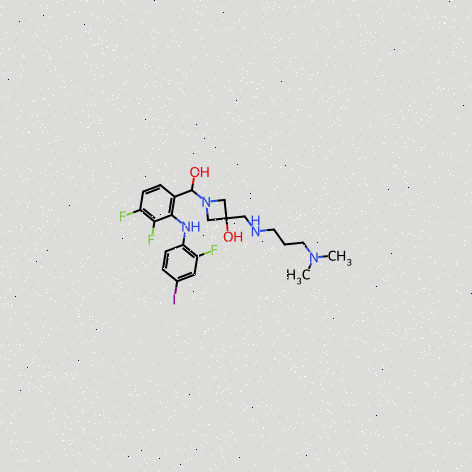 CN(C)CCCNCC1(O)CN(C(O)c2ccc(F)c(F)c2Nc2ccc(I)cc2F)C1